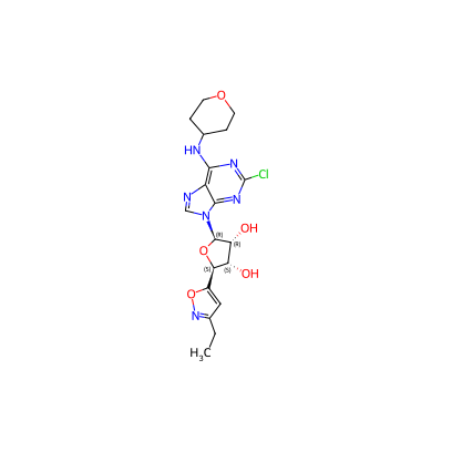 CCc1cc([C@H]2O[C@@H](n3cnc4c(NC5CCOCC5)nc(Cl)nc43)[C@H](O)[C@@H]2O)on1